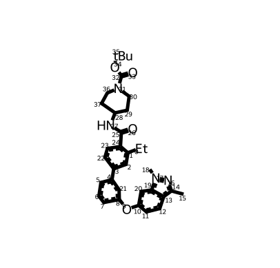 CCc1cc(-c2cccc(Oc3ccc4c(C)nn(C)c4c3)c2)ccc1C(=O)NC1CCN(C(=O)OC(C)(C)C)CC1